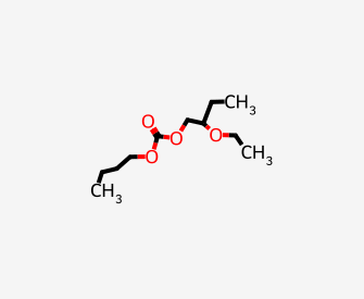 CCCCOC(=O)OCC(CC)OCC